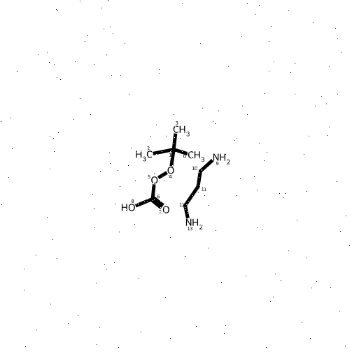 CC(C)(C)OOC(=O)O.NCCCN